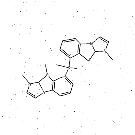 CN1C=CN2c3cccc(S(C)(C)c4cccc5c4P(I)C4N(C)C=CN54)c3CC12